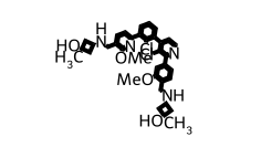 COc1cc(-c2nccc(-c3cccc(-c4ccc(CN[C@H]5C[C@](C)(O)C5)c(OC)n4)c3Cl)c2Cl)ccc1CN[C@H]1C[C@](C)(O)C1